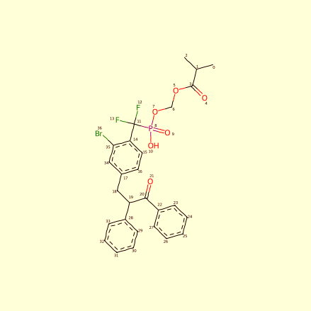 CC(C)C(=O)OCOP(=O)(O)C(F)(F)c1ccc(CC(C(=O)c2ccccc2)c2ccccc2)cc1Br